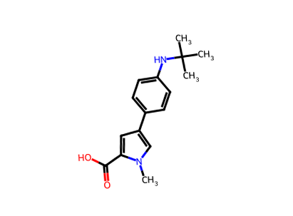 Cn1cc(-c2ccc(NC(C)(C)C)cc2)cc1C(=O)O